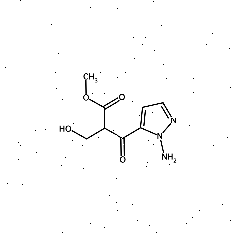 COC(=O)C(CO)C(=O)c1ccnn1N